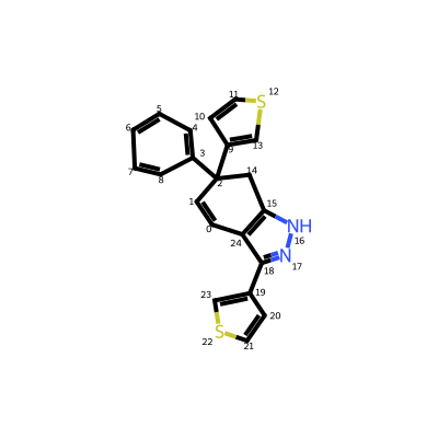 C1=CC(c2ccccc2)(c2ccsc2)Cc2[nH]nc(-c3ccsc3)c21